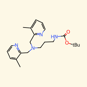 Cc1cccnc1CN(CCCNC(=O)OC(C)(C)C)Cc1ncccc1C